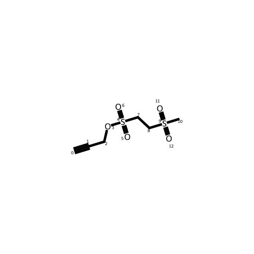 C#CCOS(=O)(=O)CCS(C)(=O)=O